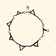 O=C1CCC2CC2CC2CC2CC2CC2CC2CC2CC2CC2C[C@H]2CC2CCO1